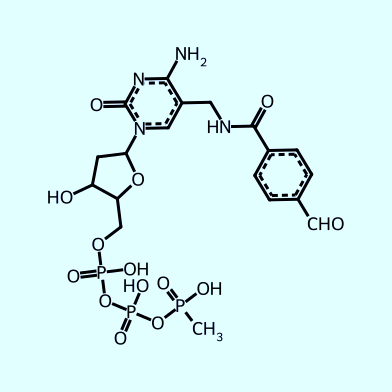 CP(=O)(O)OP(=O)(O)OP(=O)(O)OCC1OC(n2cc(CNC(=O)c3ccc(C=O)cc3)c(N)nc2=O)CC1O